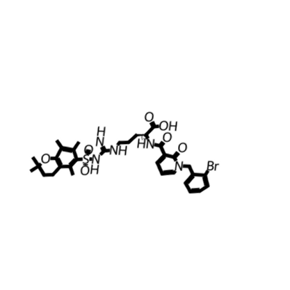 Cc1c(C)c(S(=O)(=O)NC(=N)NCCC[C@H](NC(=O)c2cccn(Cc3ccccc3Br)c2=O)C(=O)O)c(C)c2c1OC(C)(C)CC2